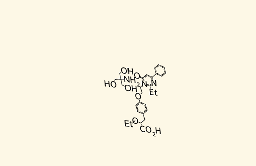 CCOC(Cc1ccc(OCCn2c(CC)nc(-c3ccccc3)cc2=O)cc1)C(=O)O.NC(CO)(CO)CO